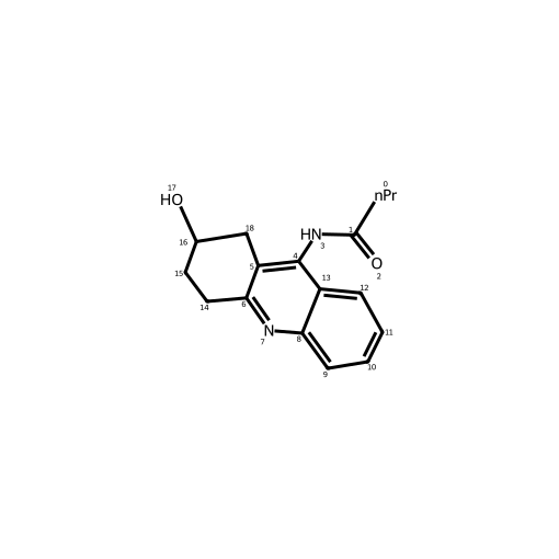 CCCC(=O)Nc1c2c(nc3ccccc13)CCC(O)C2